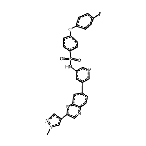 Cn1cc(-c2cnc3ccc(-c4cncc(NS(=O)(=O)c5ccc(Oc6ccc(F)cc6)cc5)c4)cc3n2)cn1